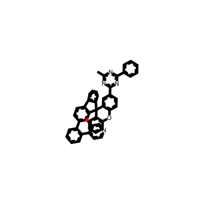 Cc1nc(-c2ccccc2)nc(-c2ccc3c(c2)C2(c4ccccc4O3)c3ccccc3-c3ccc(-c4ccccc4-c4ccncc4C)cc32)n1